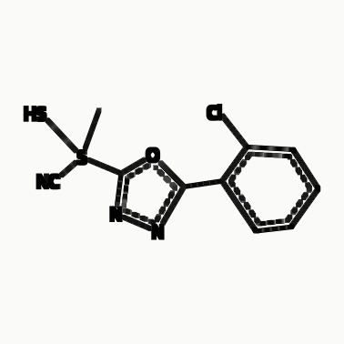 CS(S)(C#N)c1nnc(-c2ccccc2Cl)o1